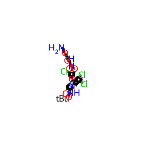 CC(C)(C)OC(=O)N[C@@H]1CCCN([C@H]2Cc3c(Cl)cc(Cl)cc3[C@@H]2Oc2ccc(S(=O)(=O)NCCOCCOCCN)c(Cl)c2)C1